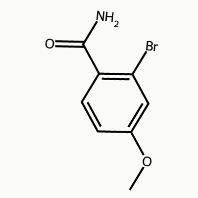 COc1ccc(C(N)=O)c(Br)c1